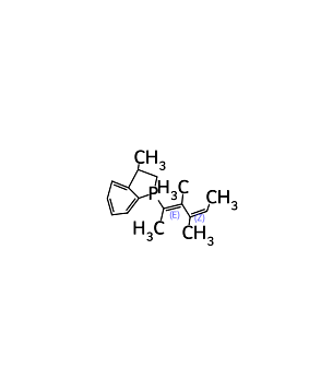 C/C=C(C)\C(C)=C(/C)P1CC(C)c2ccccc21